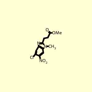 COC(=O)CCc1nc2cc(Cl)c([N+](=O)[O-])cc2n1C